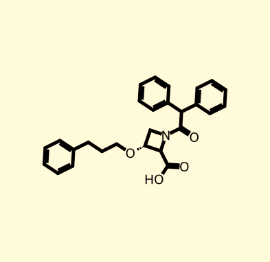 O=C(O)C1[C@H](OCCCc2ccccc2)CN1C(=O)C(c1ccccc1)c1ccccc1